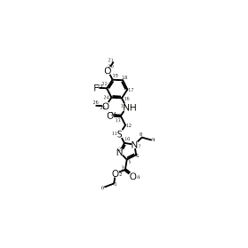 CCOC(=O)c1cn(CC)c(SCC(=O)Nc2ccc(OC)c(F)c2OC)n1